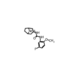 COc1ccc(F)cc1NC(=O)NC1CC2CCC(C1)N2C